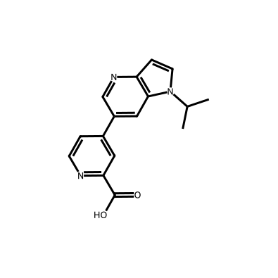 CC(C)n1ccc2ncc(-c3ccnc(C(=O)O)c3)cc21